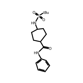 CC(C)(C)S(=O)(=O)NC1CCC(C(=O)Nc2ccccc2)CC1